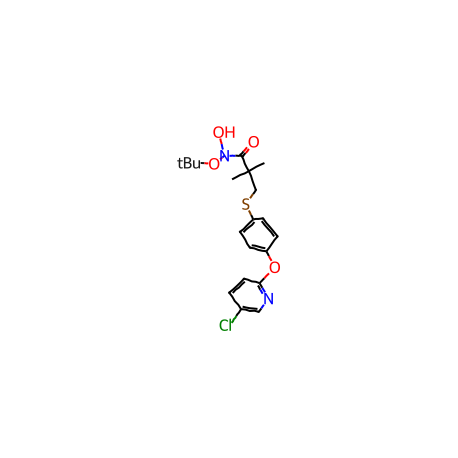 CC(C)(C)ON(O)C(=O)C(C)(C)CSc1ccc(Oc2ccc(Cl)cn2)cc1